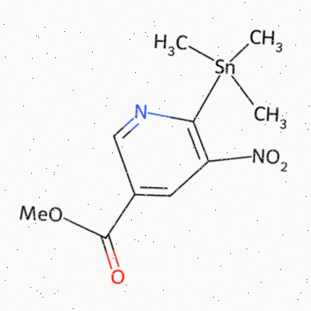 COC(=O)c1cn[c]([Sn]([CH3])([CH3])[CH3])c([N+](=O)[O-])c1